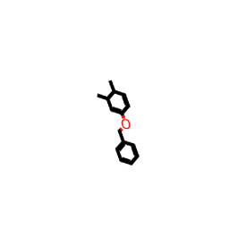 CC1C=CC(OCc2ccccc2)=CC1C